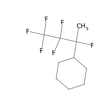 CC(F)(C1CCCCC1)C(F)(F)C(F)(F)F